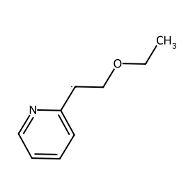 CCOC[CH]c1ccccn1